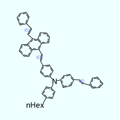 CCCCCCc1ccc(N(c2ccc(/C=C/c3ccccc3)cc2)c2ccc(/C=C/c3c4ccccc4c(/C=C/c4ccccc4)c4ccccc34)cc2)cc1